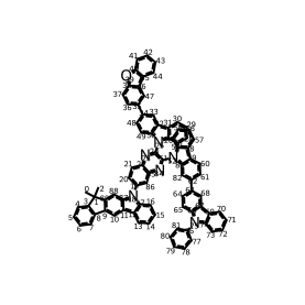 CC1(C)c2ccccc2-c2cc3c4ccccc4n(-c4ccc5nc(-n6c7ccccc7c7cc(-c8ccc9oc%10ccccc%10c9c8)ccc76)c(-n6c7ccccc7c7ccc(-c8ccc9c(c8)c8ccccc8n9-c8ccccc8)cc76)nc5c4)c3cc21